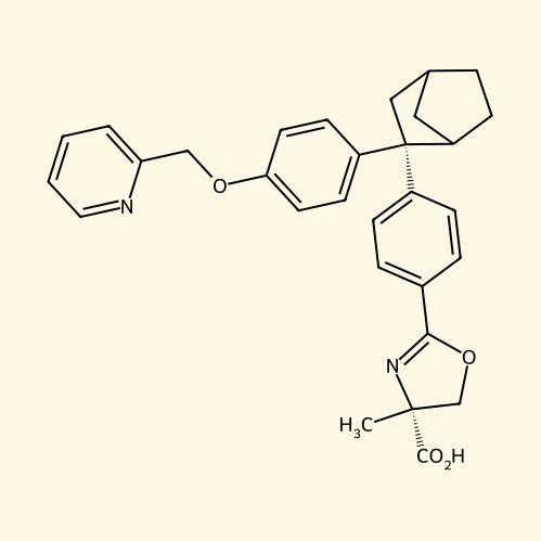 C[C@]1(C(=O)O)COC(c2ccc([C@]3(c4ccc(OCc5ccccn5)cc4)CC4CCC3C4)cc2)=N1